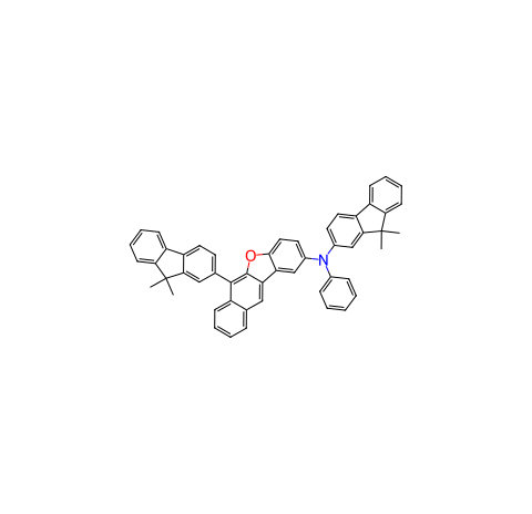 CC1(C)c2ccccc2-c2ccc(-c3c4ccccc4cc4c3oc3ccc(N(c5ccccc5)c5ccc6c(c5)C(C)(C)c5ccccc5-6)cc34)cc21